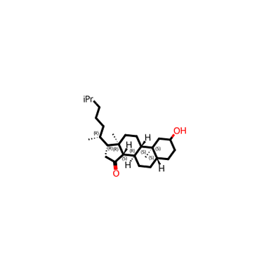 CC(C)CCC[C@@H](C)[C@H]1CC(=O)[C@H]2[C@@H]3CC[C@H]4CCC(O)C[C@]4(C)[C@H]3CC[C@]12C